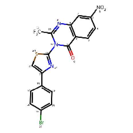 O=c1c2ccc([N+](=O)[O-])cc2nc(C(F)(F)F)n1-c1nc(-c2ccc(Br)cc2)cs1